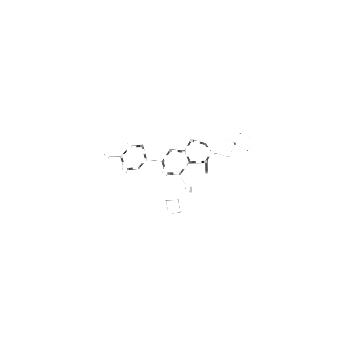 CC1(Cn2ccc3cc(-c4cnc(N)nc4)nc(NC4COC4)c3c2=O)COC1